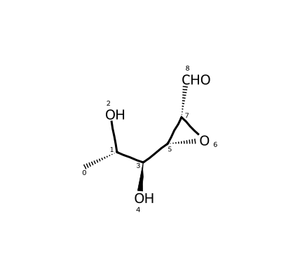 C[C@H](O)[C@H](O)[C@H]1O[C@H]1C=O